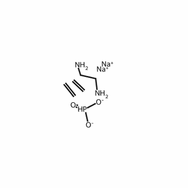 C=C.C=C.NCCN.O=[PH]([O-])[O-].[Na+].[Na+]